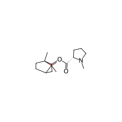 CN1CCC[C@H]1C(=O)OC1CC2CCC1(C)C2(C)C